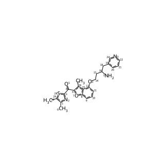 Cc1nc(C(=O)c2oc3cccc(OCCC(N)Cc4cccnc4)c3c2C)sc1C